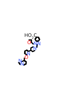 O=C(O)c1ccc2nc(CN3CCC(c4cccc(OCc5cccn6ccnc56)n4)CC3)n(CC3CCO3)c2c1